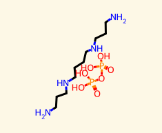 NCCCNCCCCNCCCN.O=P(O)(O)OP(=O)(O)O